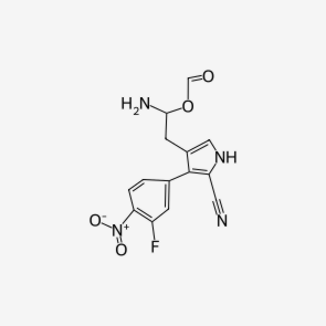 N#Cc1[nH]cc(CC(N)OC=O)c1-c1ccc([N+](=O)[O-])c(F)c1